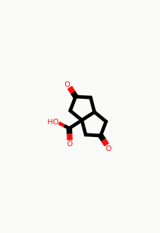 O=C1CC2CC(=O)CC2(C(=O)O)C1